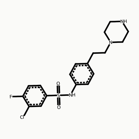 O=S(=O)(Nc1ccc(CCN2CCNCC2)cc1)c1ccc(F)c(Cl)c1